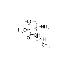 C=CC(=O)O.C=CC(N)=O.CNC